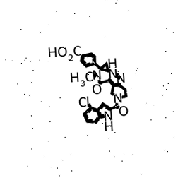 CN(C(=O)c1[nH]nc2c1CN(C(=O)c1cc3c(Cl)cccc3[nH]1)CC2)C1(c2ccc(C(=O)O)cc2)CC1